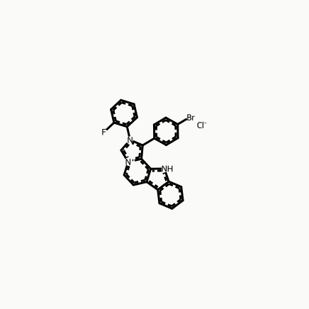 Fc1ccccc1-n1c[n+]2ccc3c4ccccc4[nH]c3c2c1-c1ccc(Br)cc1.[Cl-]